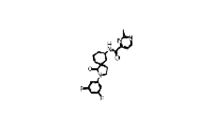 Cc1nccc(C(=O)NC2CCCC3(CCN(c4cc(F)cc(F)c4)C3=O)C2)n1